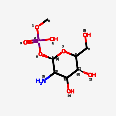 COP(=O)(O)O[C@H]1OC(CO)[C@H](O)C(O)C1N